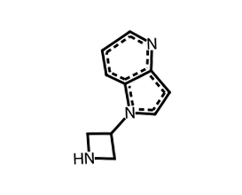 c1cnc2ccn(C3CNC3)c2c1